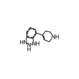 C1=C(c2cccc3c2NNN3)CCNC1